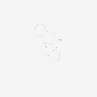 CC[C@H]1CC[C@H]2[C@@H]3[C@H](F)[C@@H](F)C4=CC=CC[C@]4(C)[C@H]3CC[C@]12C